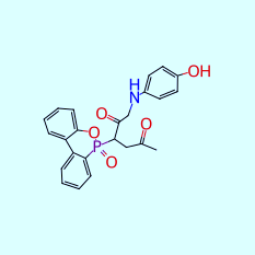 CC(=O)CC(C(=O)CNc1ccc(O)cc1)P1(=O)Oc2ccccc2-c2ccccc21